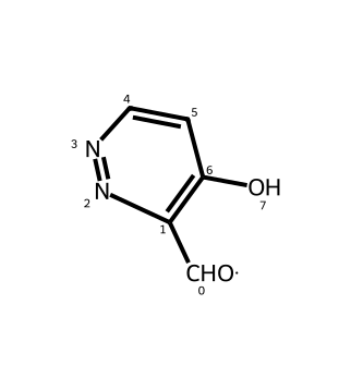 O=[C]c1nnccc1O